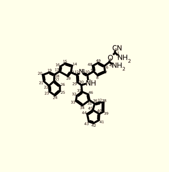 N#CC(N)OC(N)c1ccc(C2=NC(c3cccc(-c4cccc5ccccc45)c3)=CC(c3cccc(-c4cccc5ccccc45)c3)N2)cc1